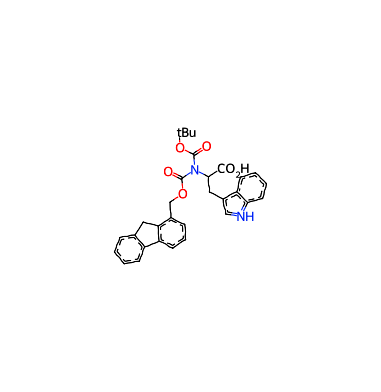 CC(C)(C)OC(=O)N(C(=O)OCc1cccc2c1Cc1ccccc1-2)C(Cc1c[nH]c2ccccc12)C(=O)O